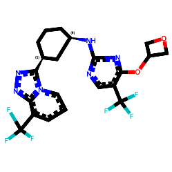 FC(F)(F)c1cnc(N[C@@H]2CCC[C@H](c3nnc4c(C(F)(F)F)cccn34)C2)nc1OC1COC1